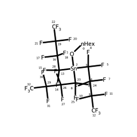 CCCCCC[O][Sn]([C](F)(F)C(F)(F)C(F)(F)C(F)(F)F)([C](F)(F)C(F)(F)C(F)(F)C(F)(F)F)[C](F)(F)C(F)(F)C(F)(F)C(F)(F)F